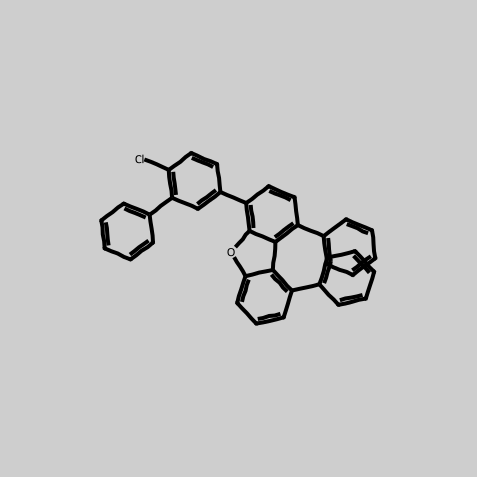 Clc1ccc(-c2ccc(-c3ccccc3)c3c2oc2cccc(-c4ccccc4)c23)cc1-c1ccccc1